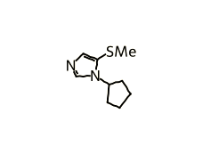 CSc1cncn1C1CCCC1